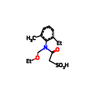 CCOCN(C(=O)CS(=O)(=O)O)c1c(C)cccc1CC